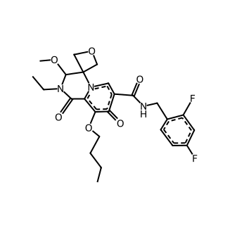 CCCCOc1c2n(cc(C(=O)NCc3ccc(F)cc3F)c1=O)C1(COC1)C(OC)N(CC)C2=O